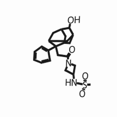 CS(=O)(=O)NC1CN(C(=O)CC2(c3ccccc3)C3CC4CC2CC(C3)C4O)C1